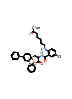 COC(=O)CCCCCNc1ccc(Cl)cc1C(=O)NC(C[C@]1(Oc2ccccc2)C=CC(c2ccccc2)=CC1)C(=O)OC